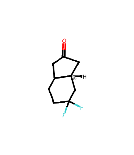 O=C1CC2CCC(F)(F)C[C@H]2C1